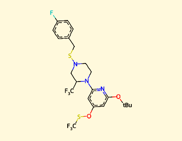 CC(C)(C)Oc1cc(OSC(F)(F)F)cc(N2CCN(SCc3ccc(F)cc3)CC2C(F)(F)F)n1